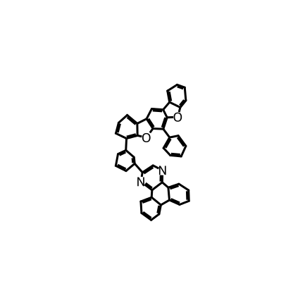 c1ccc(-c2c3oc4ccccc4c3cc3c2oc2c(-c4cccc(-c5cnc6c7ccccc7c7ccccc7c6n5)c4)cccc23)cc1